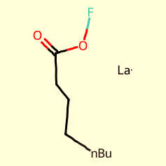 CCCCCCCC(=O)OF.[La]